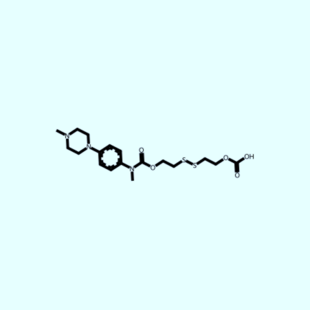 CN1CCN(c2ccc(N(C)C(=O)OCCSSCCOC(=O)O)cc2)CC1